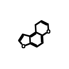 C1=COc2ccc3occc3c2C1